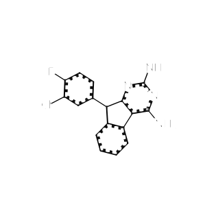 Nc1nc(N)c2c(n1)C(c1ccc(F)c(Cl)c1)c1ccccc1-2